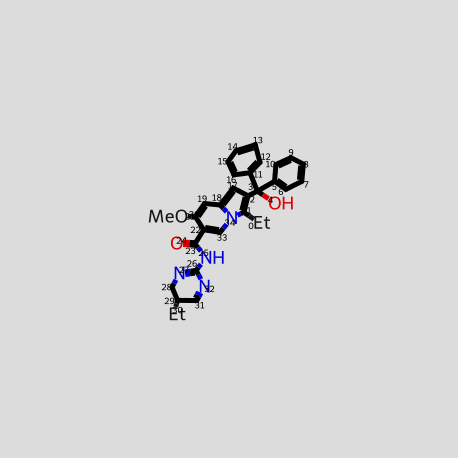 CCc1c(C(O)(c2ccccc2)c2ccccc2)cc2cc(OC)c(C(=O)NC3=NCC(CC)C=N3)cn12